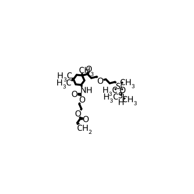 C=CC(=O)OCCOC(=O)NC1CC(C)(C)CC(C)(C(=O)CCOCCC[Si](C)(C)O[SiH](C)C)C1